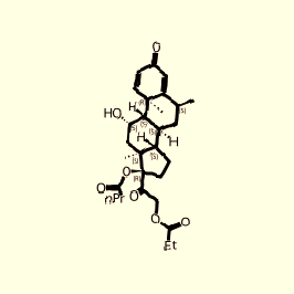 CCCC(=O)O[C@]1(C(=O)COC(=O)CC)CC[C@H]2[C@@H]3C[C@H](C)C4=CC(=O)C=C[C@]4(C)[C@H]3[C@@H](O)C[C@@]21C